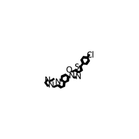 CC1=NCCN1Cc1ccc2cc(-n3cnc4cc(-c5ccc(Cl)cc5)sc4c3=O)ccc2n1